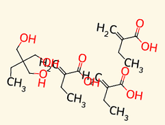 C=C(CC)C(=O)O.C=C(CC)C(=O)O.C=C(CC)C(=O)O.CCC(CO)(CO)CO